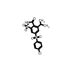 CC(C)c1cc(S(=O)(=O)c2ccc(Cl)cc2)cc2c1C(=O)NS2(=O)=O